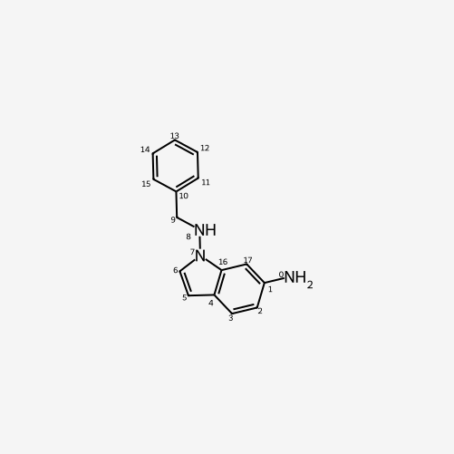 Nc1ccc2ccn(NCc3ccccc3)c2c1